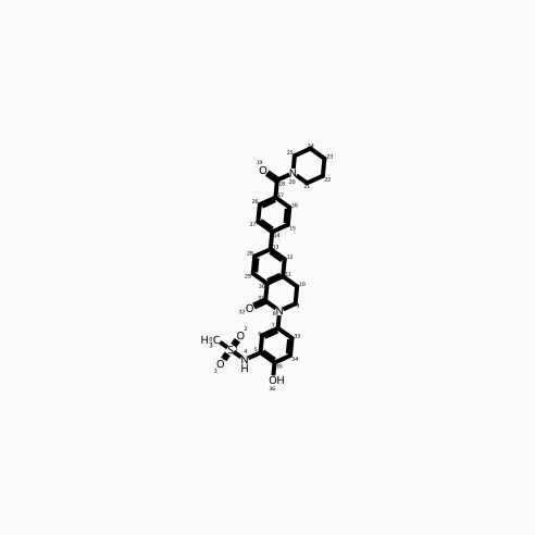 CS(=O)(=O)Nc1cc(N2CCc3cc(-c4ccc(C(=O)N5CCCCC5)cc4)ccc3C2=O)ccc1O